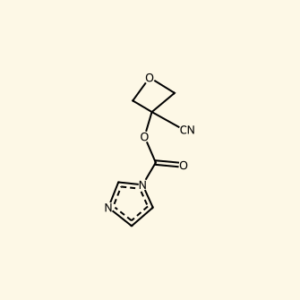 N#CC1(OC(=O)n2ccnc2)COC1